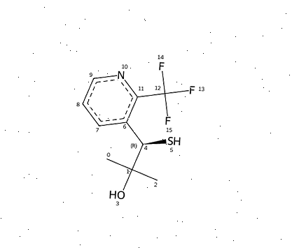 CC(C)(O)[C@H](S)c1cccnc1C(F)(F)F